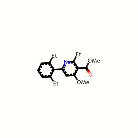 CCc1cccc(CC)c1-c1cc(OC)c(C(=O)OC)c(CC)n1